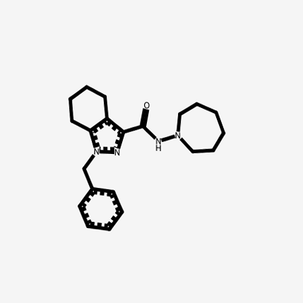 O=C(NN1CCCCCC1)c1nn(Cc2ccccc2)c2c1CCCC2